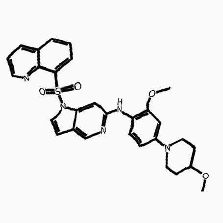 COc1cc(N2CCC(OC)CC2)ccc1Nc1cc2c(ccn2S(=O)(=O)c2cccc3cccnc23)cn1